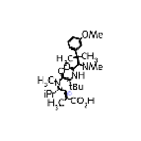 CNC(C(=O)N[C@H](C(=O)N(C)[C@H](/C=C(\C)C(=O)O)C(C)C)C(C)(C)C)C(C)(C)c1cccc(OC)c1